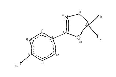 CC1(I)CN=C(c2ccc(I)cc2)O1